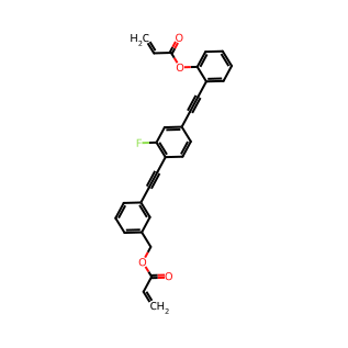 C=CC(=O)OCc1cccc(C#Cc2ccc(C#Cc3ccccc3OC(=O)C=C)cc2F)c1